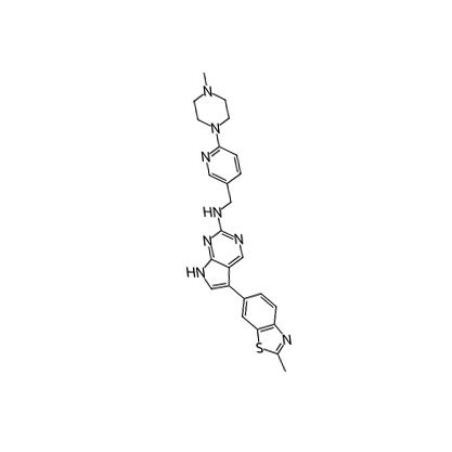 Cc1nc2ccc(-c3c[nH]c4nc(NCc5ccc(N6CCN(C)CC6)nc5)ncc34)cc2s1